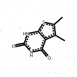 Cc1sc2[nH]c(=O)[nH]c(=O)c2c1C